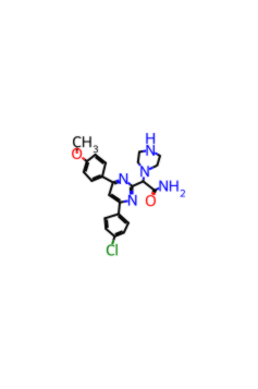 COc1ccc(-c2cc(-c3ccc(Cl)cc3)nc(C(C(N)=O)N3CCNCC3)n2)cc1